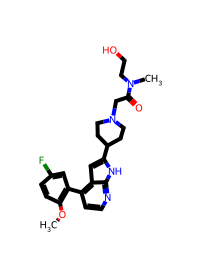 COc1ccc(F)cc1-c1ccnc2[nH]c(C3CCN(CC(=O)N(C)CCO)CC3)cc12